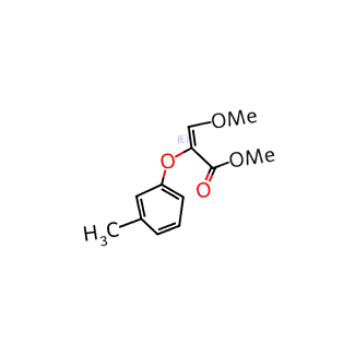 CO/C=C(/Oc1cccc(C)c1)C(=O)OC